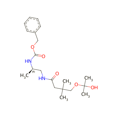 C[C@H](CNC(=O)CC(C)(C)COC(C)(C)O)NC(=O)OCc1ccccc1